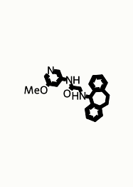 COc1cncc(NC(=O)CNC2c3ccccc3CCc3ccccc32)c1